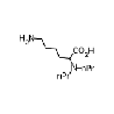 CCCN(CCC)C(CCCCN)C(=O)O